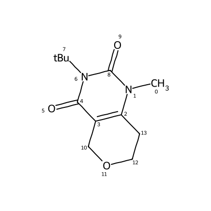 Cn1c2c(c(=O)n(C(C)(C)C)c1=O)COCC2